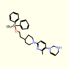 Cc1nc(N2CCC(CCO[Si](c3ccccc3)(c3ccccc3)C(C)(C)C)CC2)ccc1N1C=CCNC1